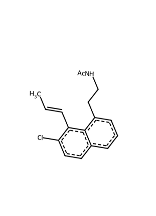 CC=Cc1c(Cl)ccc2cccc(CCNC(C)=O)c12